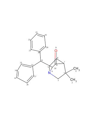 CC1(C)CN2CCC1C(=O)C2C(c1ccccc1)c1ccccc1